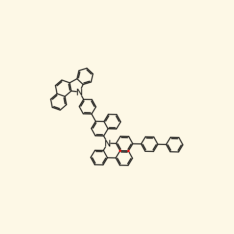 c1ccc(-c2ccc(-c3ccc(N(c4ccccc4-c4ccccc4)c4ccc(-c5ccc(-n6c7ccccc7c7ccc8ccccc8c76)cc5)c5ccccc45)cc3)cc2)cc1